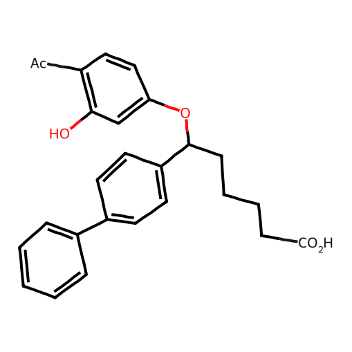 CC(=O)c1ccc(OC(CCCCC(=O)O)c2ccc(-c3ccccc3)cc2)cc1O